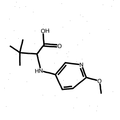 COc1ccc(NC(C(=O)O)C(C)(C)C)cn1